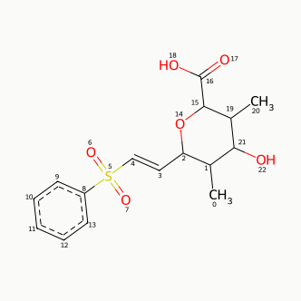 CC1C(/C=C/S(=O)(=O)c2ccccc2)OC(C(=O)O)C(C)C1O